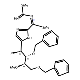 CO[C@H](COCc1ccccc1)[C@@H](OCc1ccccc1)[C@@H](F)c1cnc(/C(=N\C(=N)SC)SC)[nH]1